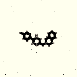 Cc1ccc(C2=NOC(CN3CCc4ccccc4C3)CN2)cc1